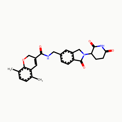 Cc1ccc(C)c2c1C=C(C(=O)NCc1ccc3c(c1)CN(C1CCC(=O)NC1=O)C3=O)CO2